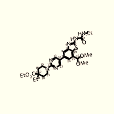 CCNC(=O)Nc1nc2cc(-c3cnc(N4CCC(CC)(C(=O)OCC)CC4)nc3)cc(C(OC)OC)c2s1